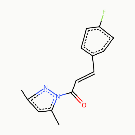 Cc1cc(C)n(C(=O)/C=C/c2ccc(F)cc2)n1